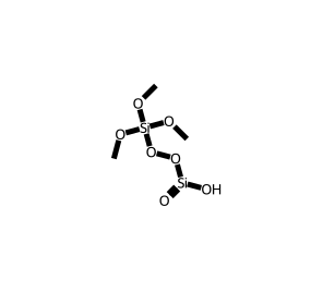 CO[Si](OC)(OC)OO[Si](=O)O